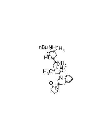 CCCCNC(=O)[C@H](C)C[C@H](O)[C@@H](N)CC(C)(C)CC(=O)N1C[C@H](N2CCCC2=O)Cc2ccccc21